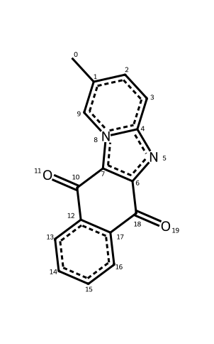 Cc1ccc2nc3c(n2c1)C(=O)c1ccccc1C3=O